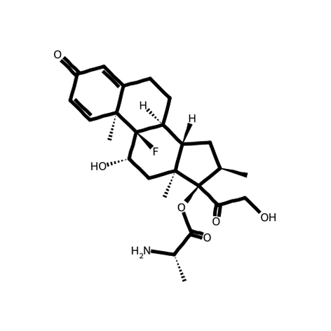 C[C@H](N)C(=O)O[C@]1(C(=O)CO)[C@H](C)C[C@H]2[C@@H]3CCC4=CC(=O)C=C[C@]4(C)[C@@]3(F)[C@@H](O)C[C@@]21C